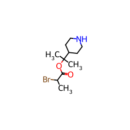 CC(Br)C(=O)OC(C)(C)C1CCNCC1